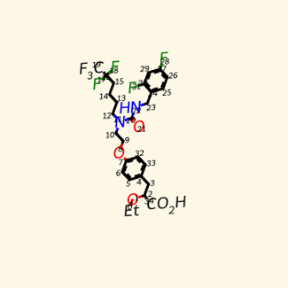 CCOC(Cc1ccc(OCCN(CCCCC(F)(F)C(F)(F)F)C(=O)NCc2ccc(F)cc2F)cc1)C(=O)O